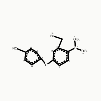 CC(C)COB(OCC(C)C)c1ccc(Oc2ccc(C#N)cc2)cc1CBr